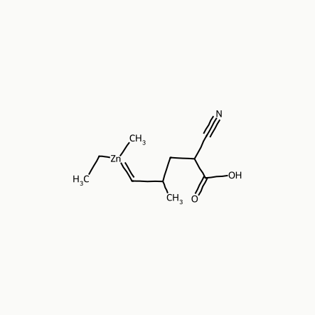 C[CH2][Zn]([CH3])=[CH]C(C)CC(C#N)C(=O)O